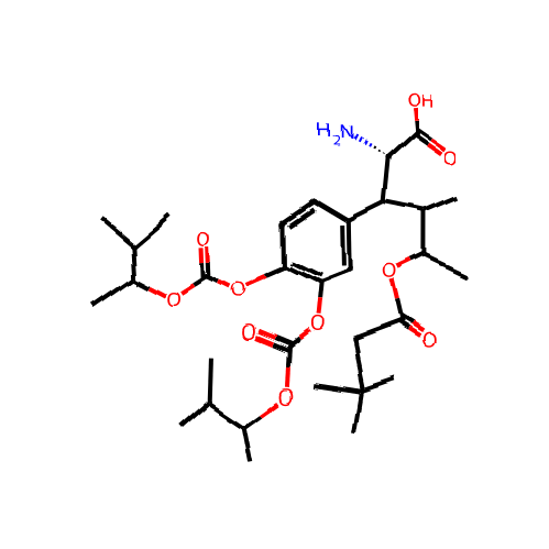 CC(C)C(C)OC(=O)Oc1ccc(C(C(C)C(C)OC(=O)CC(C)(C)C)[C@H](N)C(=O)O)cc1OC(=O)OC(C)C(C)C